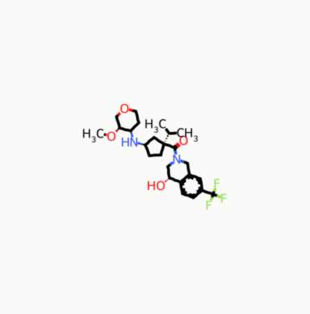 CO[C@H]1COCC[C@H]1N[C@@H]1CC[C@@](C(=O)N2Cc3cc(C(F)(F)F)ccc3[C@H](O)C2)(C(C)C)C1